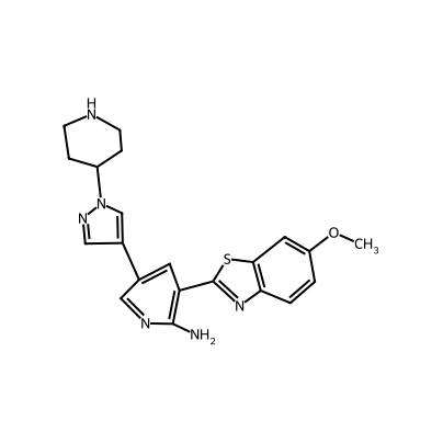 COc1ccc2nc(-c3cc(-c4cnn(C5CCNCC5)c4)cnc3N)sc2c1